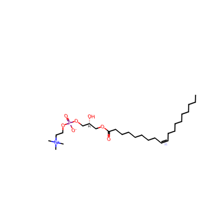 CCCCCCCCC/C=C\CCCCCCCC(=O)OC[C@@H](O)COP(=O)([O-])OCC[N+](C)(C)C